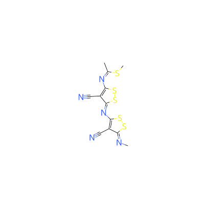 CN=c1ssc(/N=c2\ssc(N=C(C)SC)c2C#N)c1C#N